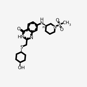 CS(=O)(=O)N1CCC[C@@H](Nc2ccc3c(=O)[nH]c(CS[C@H]4CC[C@H](O)CC4)nc3c2)C1